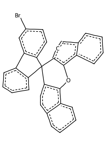 Brc1ccc2c(c1)-c1ccccc1C21c2ccc3ccccc3c2Oc2c1ccc1ccccc21